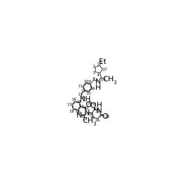 CCC1CCC(C(C)NCc2ccc(CNc3cccc4nc(C)n(C5CCC(=O)NC5=O)c(=O)c34)cc2)C1